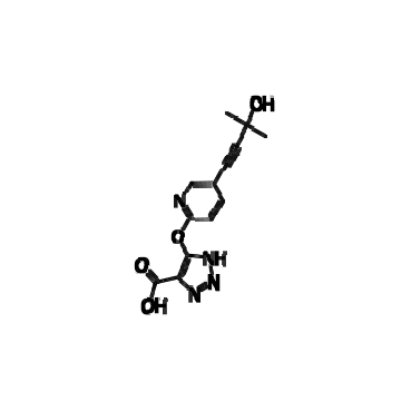 CC(C)(O)C#Cc1ccc(Oc2[nH]nnc2C(=O)O)nc1